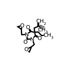 C=C(Br)CC1(C(C)CC)C(=O)N(CC2CO2)C(=O)N(CC2CO2)C1=O